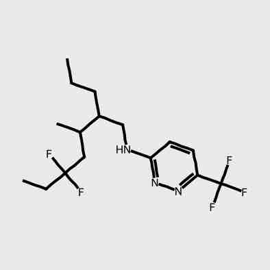 CCCC(CNc1ccc(C(F)(F)F)nn1)C(C)CC(F)(F)CC